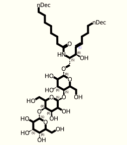 CCCCCCCCCCCCC/C=C/[C@@H](O)[C@H](CO[C@@H]1OC(CO)[C@@H](O[C@@H]2OC(CO)[C@H](O[C@@H]3OC(CO)[C@H](O)[C@H](O)C3O)[C@H](O)C2O)[C@H](O)C1O)NC(=O)CCCCCCCCCCCCCCCCC